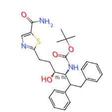 CC(C)(C)OC(=O)N[C@@H](C(Cc1ccccc1)c1ccccc1)[C@@H](O)CCc1ncc(C(N)=O)s1